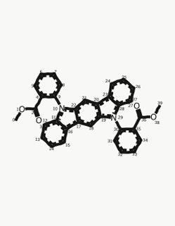 COC(=O)c1ccccc1-n1c2ccccc2c2cc3c(cc21)c1ccccc1n3-c1ccccc1C(=O)OC